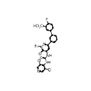 CCn1nc(-c2cccc(-c3ccc(F)c(C(=O)O)c3)c2)cc(NC(=O)Nc2c(Cl)cncc2Cl)c1=O